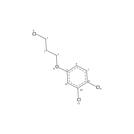 ClCCCOc1ccc(Cl)c(Cl)c1